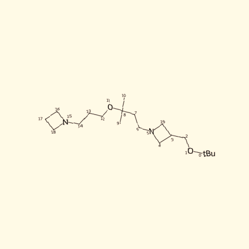 CC(C)(C)OCC1CN(CCC(C)(C)OCCCN2CCC2)C1